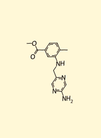 COC(=O)c1ccc(C)c(NCc2cnc(N)cn2)c1